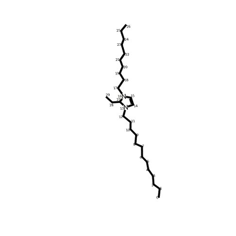 CCCCCCCCCCCCCN1C=CN(CCCCCCCCCC)C1CC